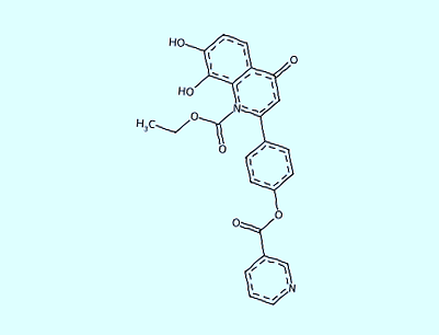 CCOC(=O)n1c(-c2ccc(OC(=O)c3cccnc3)cc2)cc(=O)c2ccc(O)c(O)c21